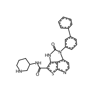 O=C(NC1CCCNC1)c1sc2nccc3c2c1NC(=O)N3c1cccc(-c2ccccc2)c1